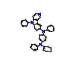 c1ccc(N(c2ccccc2)c2ccc(N(c3ccccc3)c3ccc4c(c3)c3cnccc3n4-c3ccccc3)cc2)cc1